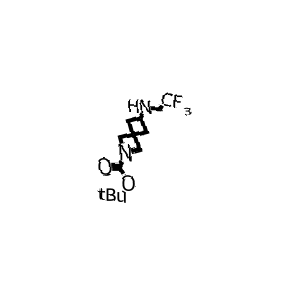 CC(C)(C)OC(=O)N1CC2(CC(NCC(F)(F)F)C2)C1